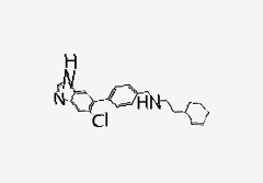 Clc1cc2nc[nH]c2cc1-c1ccc(CNCCC2CCCCC2)cc1